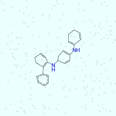 C1=CC(NC2=CCC(NC3=C(c4ccccc4)CCC=C3)C=C2)=CCC1